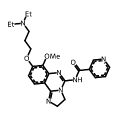 CCN(CC)CCCOc1ccc2c(c1OC)N=C(NC(=O)c1cccnc1)N1CCN=C21